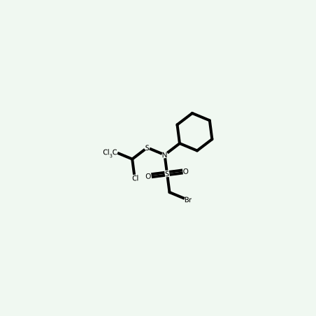 O=S(=O)(CBr)N(SC(Cl)C(Cl)(Cl)Cl)C1CCCCC1